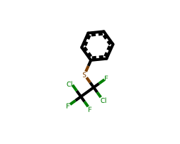 FC(F)(Cl)C(F)(Cl)Sc1ccccc1